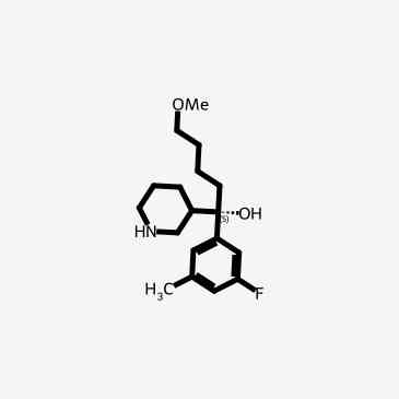 COCCCC[C@@](O)(c1cc(C)cc(F)c1)C1CCCNC1